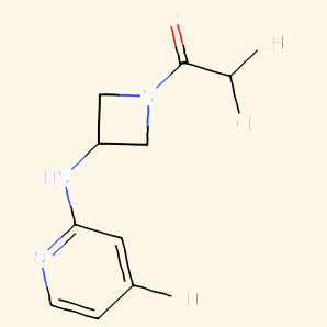 Cc1ccnc(NC2CN(C(=O)C(C)C)C2)c1